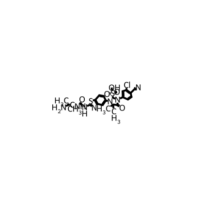 CC(C)(N)CNC(=O)Nc1nc2cc(N3C(S(=O)(=O)O)N(c4ccc(C#N)c(Cl)c4)C(=O)C3(C)C)ccc2s1